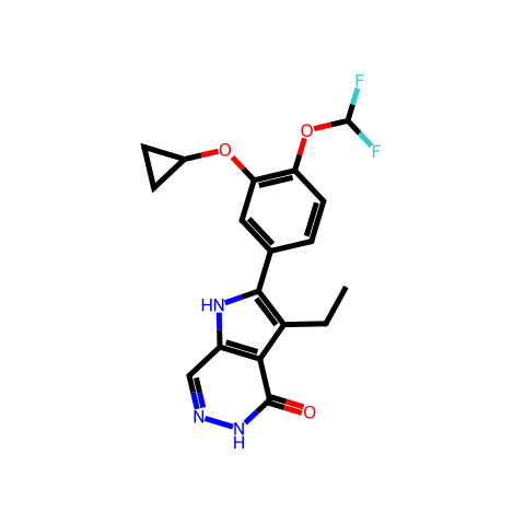 CCc1c(-c2ccc(OC(F)F)c(OC3CC3)c2)[nH]c2cn[nH]c(=O)c12